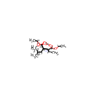 CCOC(=O)/C(CC)=C(/CC(C)C)C(=O)OCC